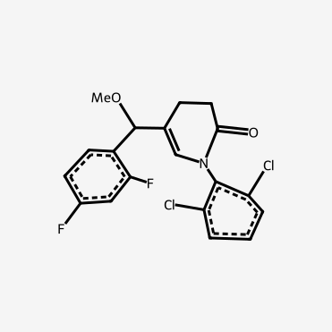 COC(C1=CN(c2c(Cl)cccc2Cl)C(=O)CC1)c1ccc(F)cc1F